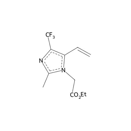 C=Cc1c(C(F)(F)F)nc(C)n1CC(=O)OCC